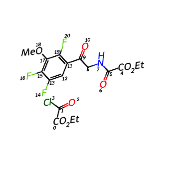 CCOC(=O)C(=O)Cl.CCOC(=O)C(=O)NCC(=O)c1cc(F)c(F)c(OC)c1F